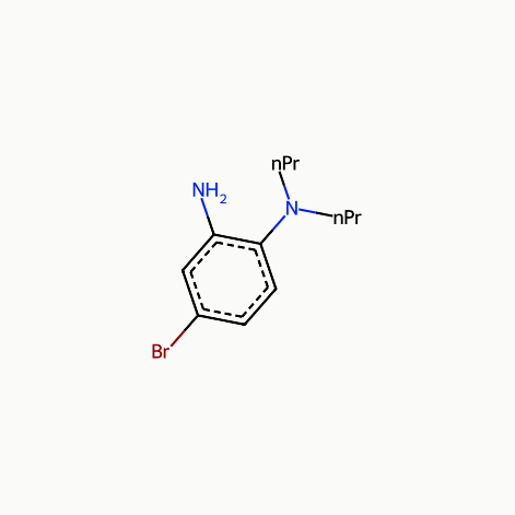 CCCN(CCC)c1ccc(Br)cc1N